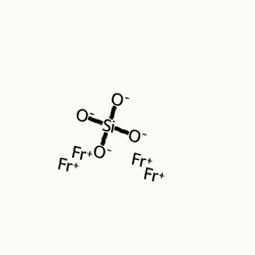 [Fr+].[Fr+].[Fr+].[Fr+].[O-][Si]([O-])([O-])[O-]